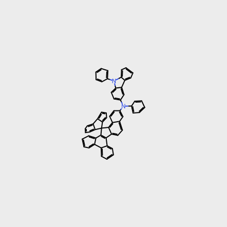 c1ccc(N(c2ccc3c4c(ccc3c2)-c2c(c3ccccc3c3ccccc23)C42c3ccccc3-c3ccccc32)c2ccc3c(c2)c2ccccc2n3-c2ccccc2)cc1